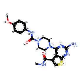 CNC(=O)c1csc2nc(N)nc(N3CCN(C(=O)Nc4ccc(OC)cc4)CC3)c12